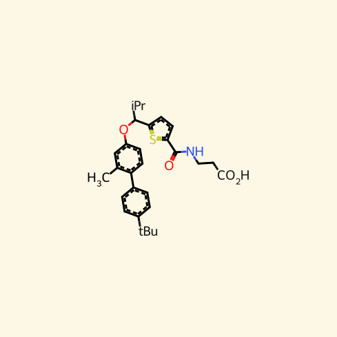 Cc1cc(OC(c2ccc(C(=O)NCCC(=O)O)s2)C(C)C)ccc1-c1ccc(C(C)(C)C)cc1